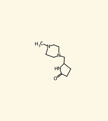 CN1CCN(CC2CCC(=O)N2)CC1